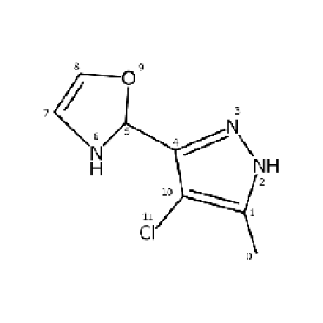 Cc1[nH]nc(C2NC=CO2)c1Cl